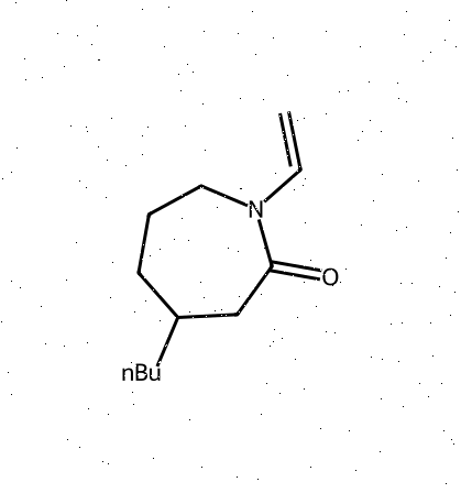 C=CN1CCCC(CCCC)CC1=O